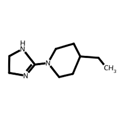 CCC1CCN(C2=NCCN2)CC1